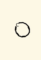 C1=CC=CCCCCC=CCCC=C1